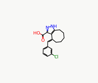 O=C(O)c1n[nH]c2c1C(=Cc1cccc(Cl)c1)CCCCC2